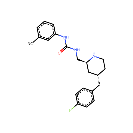 N#Cc1cccc(NC(=O)NC[C@@H]2C[C@@H](Cc3ccc(F)cc3)CCN2)c1